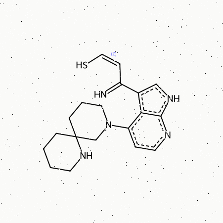 N=C(/C=C\S)c1c[nH]c2nccc(N3CCCC4(CCCCN4)C3)c12